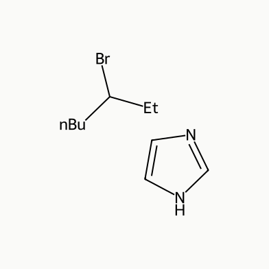 CCCCC(Br)CC.c1c[nH]cn1